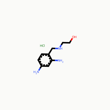 Cl.Nc1ccc(CNCCO)c(N)c1